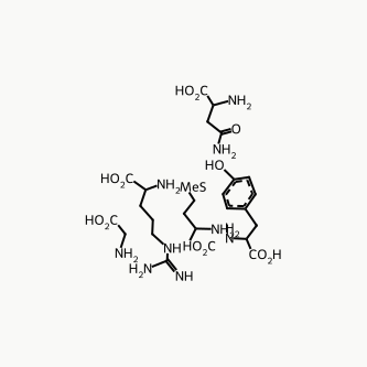 CSCCC(N)C(=O)O.N=C(N)NCCCC(N)C(=O)O.NC(=O)CC(N)C(=O)O.NC(Cc1ccc(O)cc1)C(=O)O.NCC(=O)O